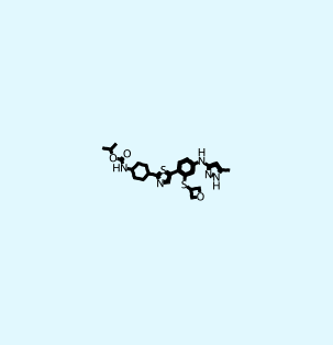 Cc1cc(Nc2ccc(-c3cnc(C4CCC(NC(=O)OC(C)C)CC4)s3)c(SC3COC3)c2)n[nH]1